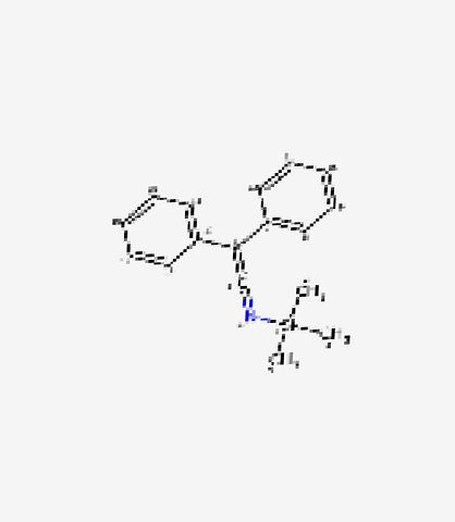 C[Si](C)(C)N=C=C(c1ccccc1)c1ccccc1